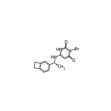 CC(C)n1c(=O)cc(N[C@@H](C)c2ccc3c(c2)CC3)[nH]c1=O